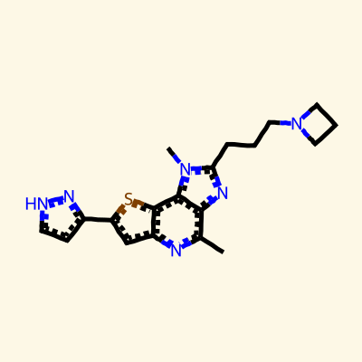 Cc1nc2cc(-c3cc[nH]n3)sc2c2c1nc(CCCN1CCC1)n2C